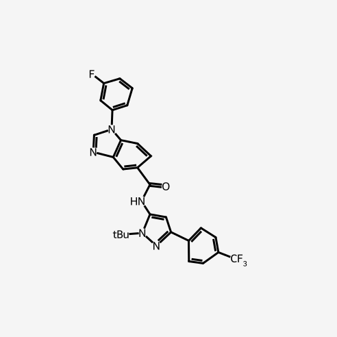 CC(C)(C)n1nc(-c2ccc(C(F)(F)F)cc2)cc1NC(=O)c1ccc2c(c1)ncn2-c1cccc(F)c1